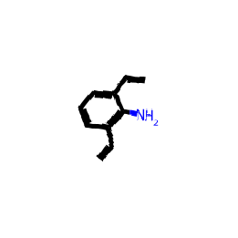 C=Cc1cccc(C=C)c1N